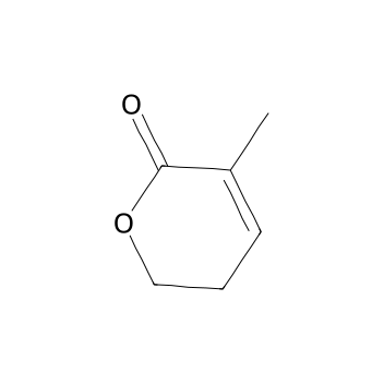 CC1=CCCOC1=O